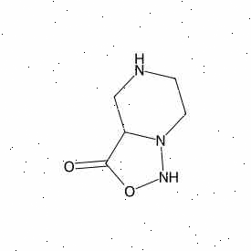 O=C1ONN2CCNCC12